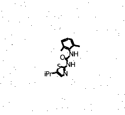 Cc1cccc(C)c1NC(=O)Nc1ncc(C(C)C)s1